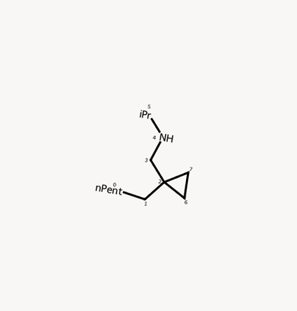 CCCCCCC1(CNC(C)C)CC1